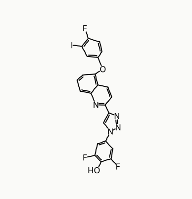 Oc1c(F)cc(-n2cc(-c3ccc4c(Oc5ccc(F)c(I)c5)cccc4n3)nn2)cc1F